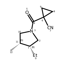 CC[C@H]1CN(C(=O)C2(C#N)CC2)C[C@H]1C